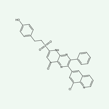 O=c1cc(S(=O)(=O)CCc2ccc(O)cc2)[nH]c2nc(-c3ccccc3)c(-c3cc(Cl)c4ncccc4c3)nc12